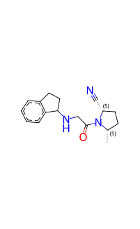 C[C@H]1CC[C@@H](C#N)N1C(=O)CNC1CCc2ccccc21